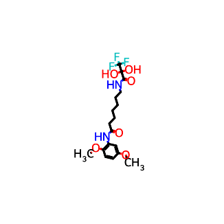 COc1ccc(OC)c(NC(=O)CCCCCCNC(=O)C(O)(O)C(F)(F)F)c1